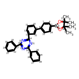 CC1(C)OB(c2ccc(-c3cccc(-c4nc(-c5ccccc5)nc(-c5ccccc5)n4)c3)cc2)OC1(C)C